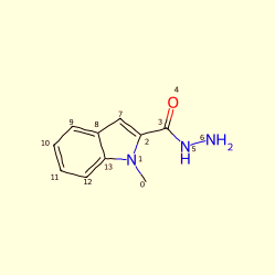 Cn1c(C(=O)NN)cc2ccccc21